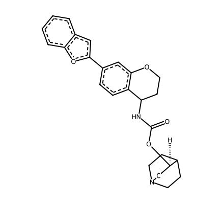 O=C(NC1CCOc2cc(-c3cc4ccccc4o3)ccc21)O[C@@H]1CN2CCC1CC2